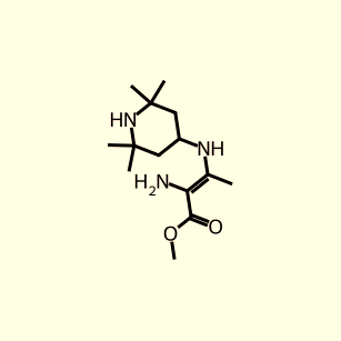 COC(=O)C(N)=C(C)NC1CC(C)(C)NC(C)(C)C1